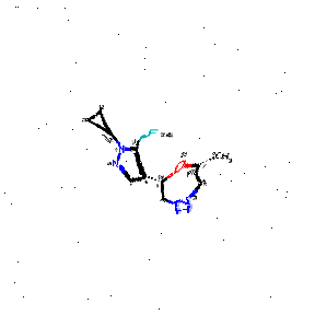 C[C@@H]1CNC[C@H](c2cnn(C3CC3)c2F)O1